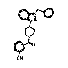 N#Cc1cccc(C(=O)N2CCC(c3cn(Cc4ccccc4)c4ccccc34)CC2)c1